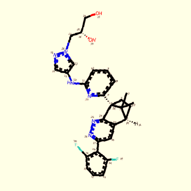 CC1(C)[C@H]2CC[C@]1(c1cccc(Nc3cnn(C[C@@H](O)CO)c3)n1)c1nnc(-c3c(F)cccc3F)cc12